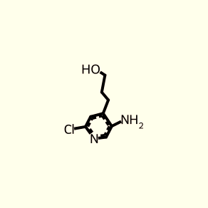 Nc1cnc(Cl)cc1CCCO